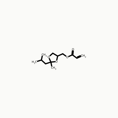 C=CC(=O)OCC1COC(C)(CC(C)C)O1